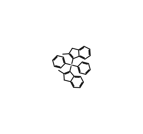 CC1=C([Si](C2=C(C)[CH]c3ccccc32)(c2ccccc2)c2ccccc2)c2ccccc2[CH]1